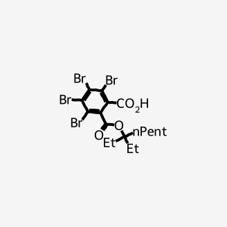 CCCCCC(CC)(CC)OC(=O)c1c(Br)c(Br)c(Br)c(Br)c1C(=O)O